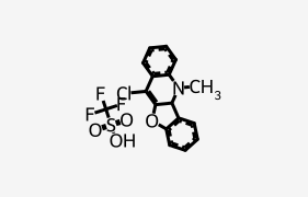 CN1c2ccccc2C(Cl)=C2Oc3ccccc3C21.O=S(=O)(O)C(F)(F)F